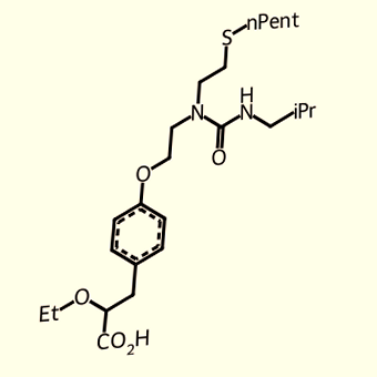 CCCCCSCCN(CCOc1ccc(CC(OCC)C(=O)O)cc1)C(=O)NCC(C)C